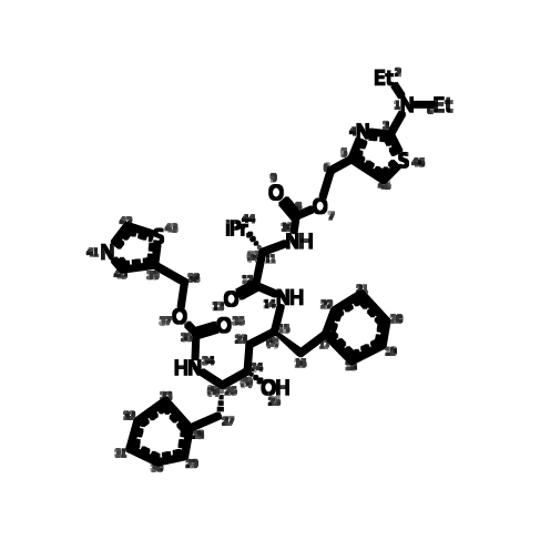 CCN(CC)c1nc(COC(=O)N[C@H](C(=O)N[C@@H](Cc2ccccc2)C[C@H](O)[C@H](Cc2ccccc2)NC(=O)OCc2cncs2)C(C)C)cs1